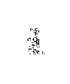 CON=Cc1cc(Cl)c(O[C@H](C(=O)c2cn(C)nc2C(F)F)C2CCCN2)c(Cl)c1